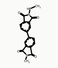 CBN1C(=O)c2ccc(-c3ccc4c(c3)C(=O)N(C)C4=O)cc2C1=O